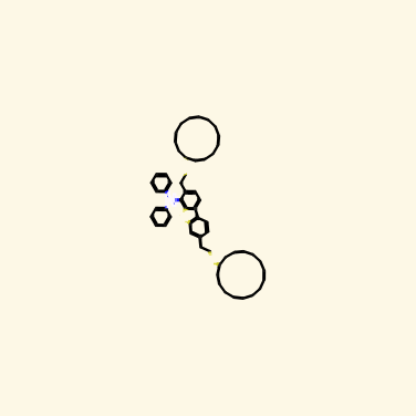 c1ccc(N(c2ccccc2)c2c(CCSC3CCCCCCCCCCCCC3)ccc3c2sc2cc(CCSC4CCCCCCCCCCCCCC4)ccc23)cc1